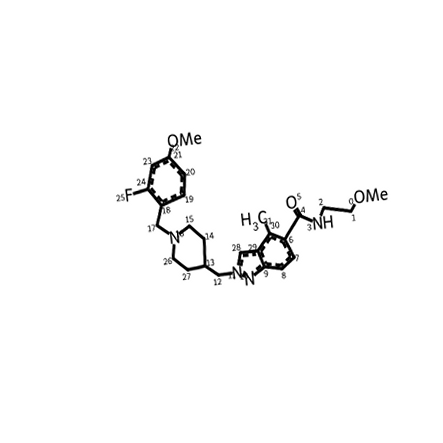 COCCNC(=O)c1ccc2nn(CC3CCN(Cc4ccc(OC)cc4F)CC3)cc2c1C